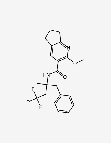 COc1nc2c(cc1C(=O)NC(C)(Cc1ccccc1)CC(F)(F)F)CCC2